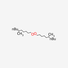 CCCCC(C)CCCCCOOCCCCCC(C)CCCC